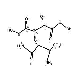 NC(=O)CC(N)C(=O)O.O=C(CO)[C@@H](O)[C@H](O)[C@H](O)CO